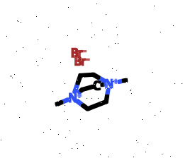 C[N+]12CC[N+](C)(CC1)CC2.[Br-].[Br-]